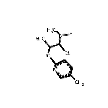 CCC(C(C)Oc1ccc(C)cn1)N(C)CC